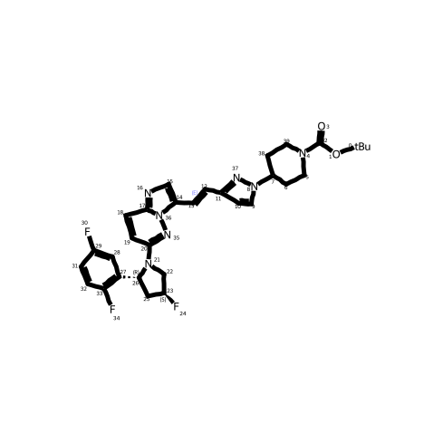 CC(C)(C)OC(=O)N1CCC(n2ccc(/C=C/c3cnc4ccc(N5C[C@@H](F)C[C@@H]5c5cc(F)ccc5F)nn34)n2)CC1